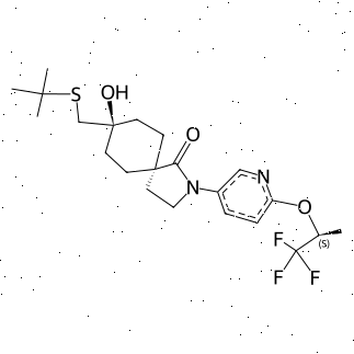 C[C@H](Oc1ccc(N2CC[C@]3(CC[C@@](O)(CSC(C)(C)C)CC3)C2=O)cn1)C(F)(F)F